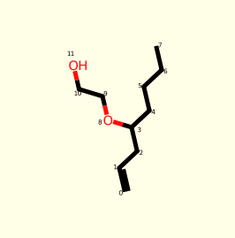 C=CCC(CCCC)OCCO